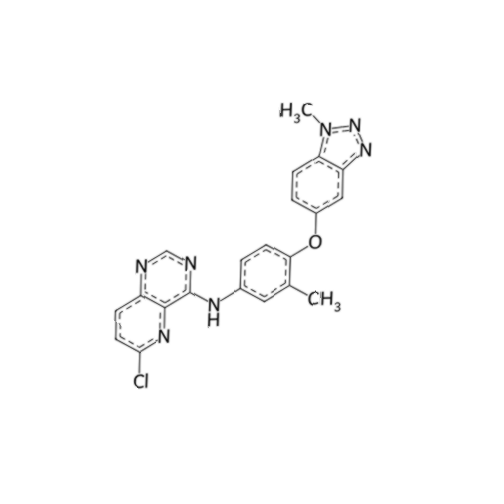 Cc1cc(Nc2ncnc3ccc(Cl)nc23)ccc1Oc1ccc2c(c1)nnn2C